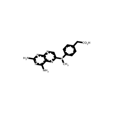 CN(c1ccc(CC(=O)O)cc1)c1cnc2nc(N)nc(N)c2n1